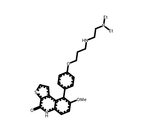 CCN(CC)CCNCCCOc1ccc(-c2c(OC)ccc3[nH]c(=O)c4sccc4c23)cc1